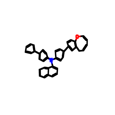 C1=C\Cc2cc(-c3ccc(N(c4ccc(-c5ccccc5)cc4)c4cccc5ccccc45)cc3)ccc2O\C=C/1